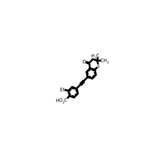 CCc1cc(C#Cc2ccc3c(c2)C(=O)CC(C)(C)S3)ccc1C(=O)O